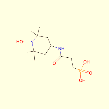 CC1(C)CC(NC(=O)CCP(=O)(O)O)CC(C)(C)N1O